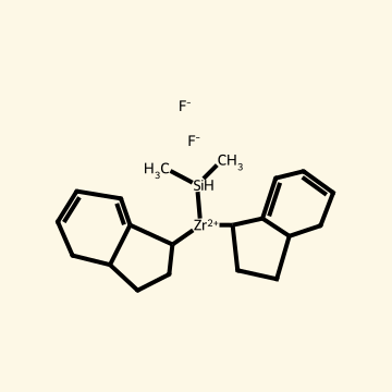 C[SiH](C)[Zr+2]([CH]1CCC2CC=CC=C21)[CH]1CCC2CC=CC=C21.[F-].[F-]